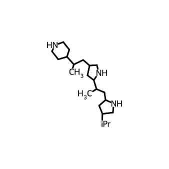 CC(C)C1CNC(CC(C)C2CC(CC(C)C3CCNCC3)CN2)C1